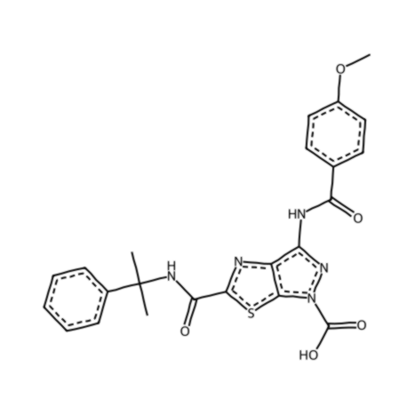 COc1ccc(C(=O)Nc2nn(C(=O)O)c3sc(C(=O)NC(C)(C)c4ccccc4)nc23)cc1